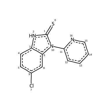 S=c1[nH]c2ccc(Cl)cc2n1-c1ccccn1